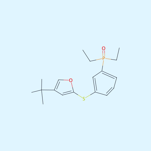 CCP(=O)(CC)c1cccc(Sc2cc(C(C)(C)C)co2)c1